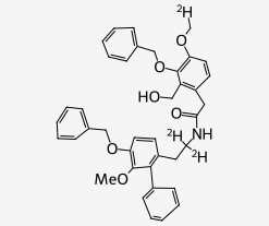 [2H]COc1ccc(CC(=O)NC([2H])([2H])Cc2ccc(OCc3ccccc3)c(OC)c2-c2ccccc2)c(CO)c1OCc1ccccc1